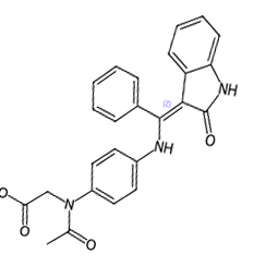 CC(=O)N(CC(=O)O)c1ccc(N/C(=C2\C(=O)Nc3ccccc32)c2ccccc2)cc1